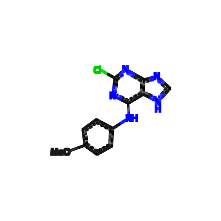 COc1ccc(Nc2nc(Cl)nc3nc[nH]c23)cc1